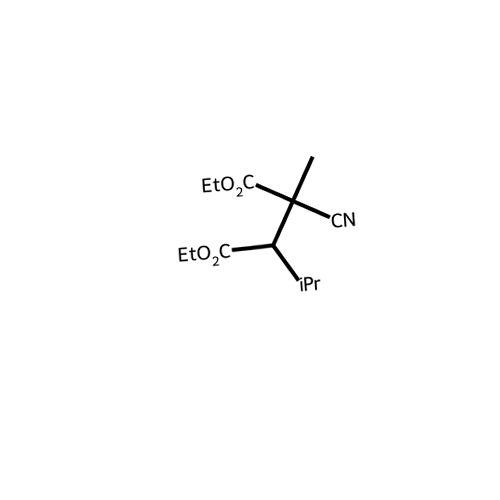 CCOC(=O)C(C(C)C)C(C)(C#N)C(=O)OCC